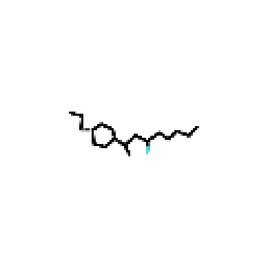 CCCC[CH]C(F)CC(C)[C@H]1CC[C@H](CCC)CC1